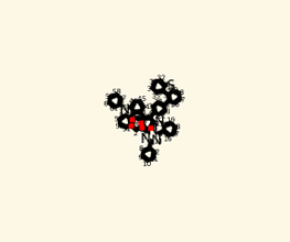 c1ccc(-c2nc(-c3ccccc3)nc(-c3ccccc3-n3c4cc(-c5cccc6sc7ccccc7c56)ccc4c4c(-c5cccc6c5c5ccccc5n6-c5ccccc5)cccc43)n2)cc1